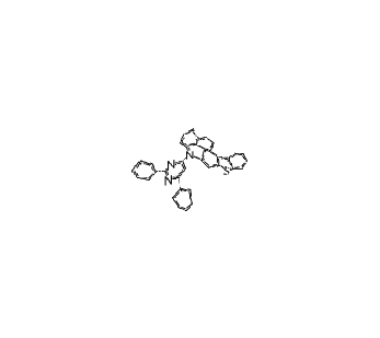 c1ccc(-c2cc(-n3c4cccc5ccc6c7c(cc3c6c54)sc3ccccc37)nc(-c3ccccc3)n2)cc1